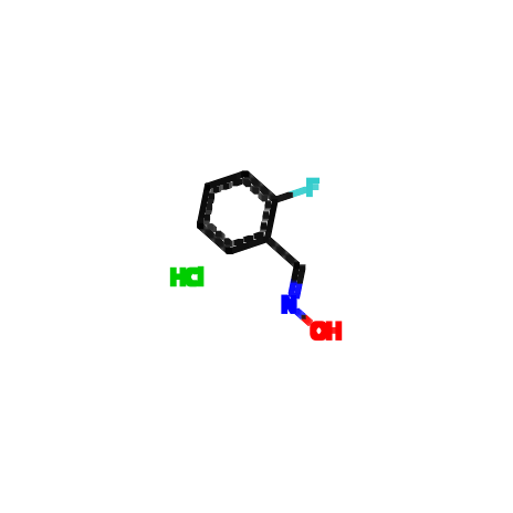 Cl.ON=Cc1ccccc1F